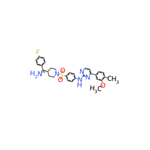 COc1cc(-c2ccnc(Nc3ccc(S(=O)(=O)N4CCC([C@H](N)c5ccc(F)cc5)CC4)cc3)n2)ccc1C